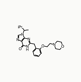 CC(C)C(C)n1cnc2c(=O)[nH]c(Cc3ccccc3OCCN3CCOCC3)nc21